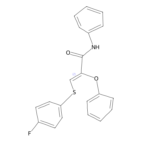 O=C(Nc1ccccc1)/C(=C/Sc1ccc(F)cc1)Oc1ccccc1